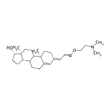 CN(C)CCON=C/C=C1/C=C2CCC3C(CC[C@@]4(C)C3CC[C@@H]4O)[C@@]2(C)CC1